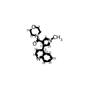 Cn1cc(C(=O)N2CCOCC2)c(-c2ccnc3ccccc23)c1